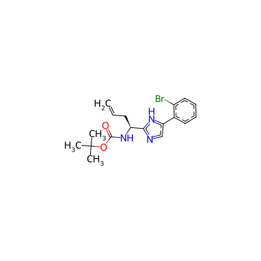 C=CC[C@H](NC(=O)OC(C)(C)C)c1ncc(-c2ccccc2Br)[nH]1